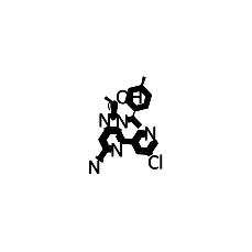 CC([C@H]1CC[C@H](C)CC1)n1c([C@@H](C)O)nc2cc(C#N)nc(-c3cncc(Cl)c3)c21